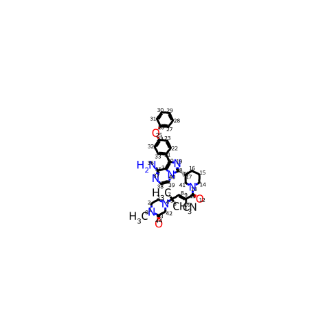 CN1CCN(C(C)(C)C=C(C#N)C(=O)N2CCC[C@@H](c3nc(-c4ccc(Oc5ccccc5)cc4)c4c(N)nccn34)C2)CC1=O